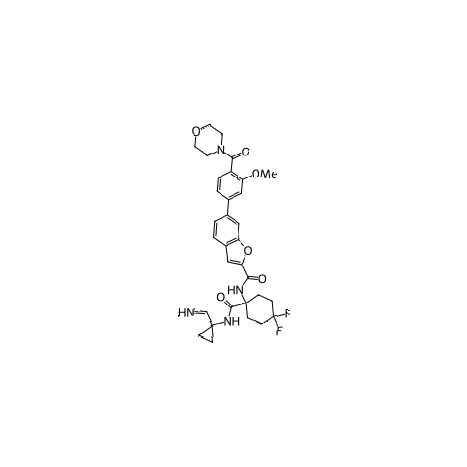 COc1cc(-c2ccc3cc(C(=O)NC4(C(=O)NC5(C=N)CC5)CCC(F)(F)CC4)oc3c2)ccc1C(=O)N1CCOCC1